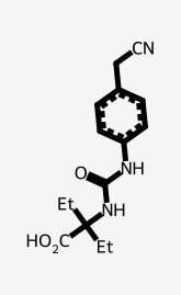 CCC(CC)(NC(=O)Nc1ccc(CC#N)cc1)C(=O)O